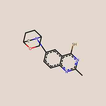 Cc1nc(S)c2cc(N3CC4CCC3CO4)ccc2n1